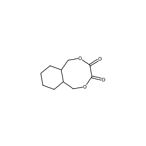 O=C1OCC2CCCCC2COC1=O